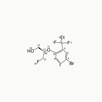 CCC(F)(F)c1cc(Br)ccc1O[C@H](CO)CF